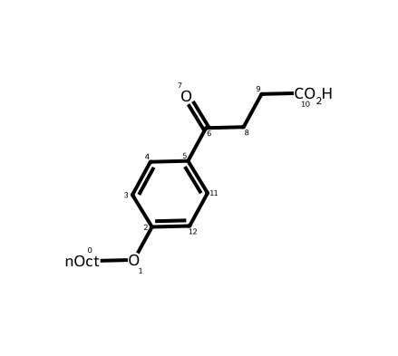 CCCCCCCCOc1ccc(C(=O)CCC(=O)O)cc1